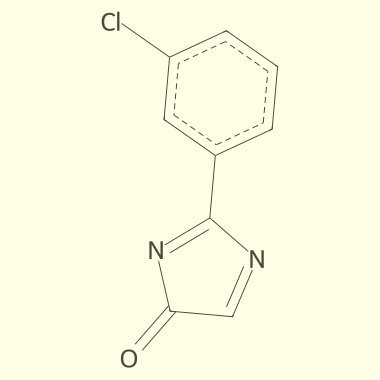 O=C1C=NC(c2cccc(Cl)c2)=N1